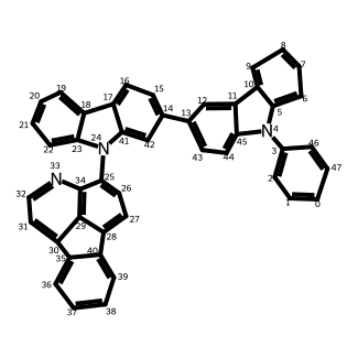 c1ccc(-n2c3ccccc3c3cc(-c4ccc5c6ccccc6n(-c6ccc7c8c(ccnc68)-c6ccccc6-7)c5c4)ccc32)cc1